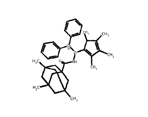 CC1=C(C)C(C)[C]([Zr]([NH]C(=O)C23CC4(C)CC(C)(CC(C)(C4)C2)C3)[GeH]([c]2ccccc2)[c]2ccccc2)=C1C